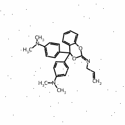 C=CCN=C1Oc2ccccc2C(c2ccc(N(C)C)cc2)(c2ccc(N(C)C)cc2)O1